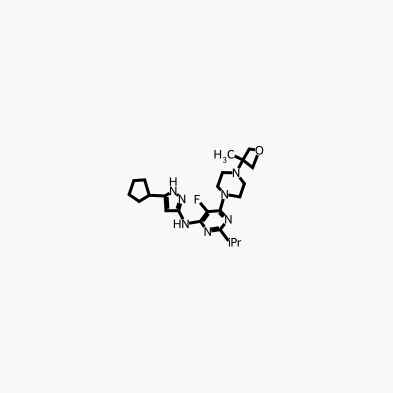 CC(C)c1nc(Nc2cc(C3CCCC3)[nH]n2)c(F)c(N2CCN(C3(C)COC3)CC2)n1